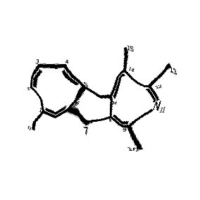 Cc1cccc2c1Cc1c(C)nc(C)c(C)c1-2